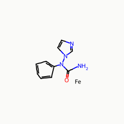 NC(=O)N(c1ccccc1)n1ccnc1.[Fe]